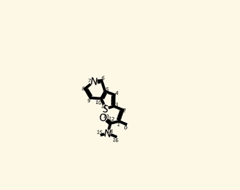 CC(=Cc1cc2cnccc2s1)C(=O)N(C)C